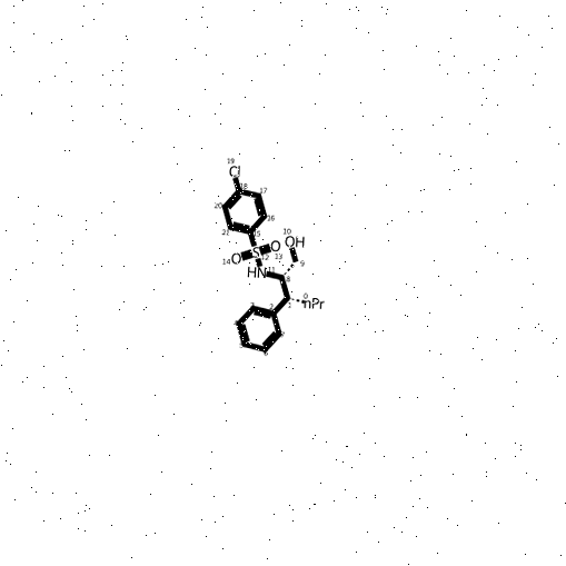 CCC[C@H](c1ccccc1)[C@@H](CO)NS(=O)(=O)c1ccc(Cl)cc1